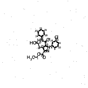 CCOC(=O)c1nn(-c2cccc(Cl)c2)c(C(=O)Nc2ccccc2)c1CCO